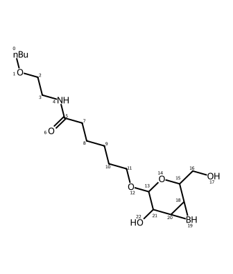 CCCCOCCNC(=O)CCCCCOC1OC(CO)C2BC2C1O